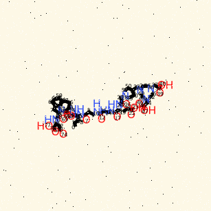 CC[C@H](C)[C@H](NC(=O)CCNC(=O)CCNC(=O)[C@@H](CCC(=O)O)NC(=O)CN1CCC(CN2CCN(CC(=O)O)CCN(CC(=O)O)CC2)CC1)C(=O)N[C@H]1CCc2cccc3c2N(C1=O)[C@H](C(=O)N[C@H]1CC(=O)OC1O)C3